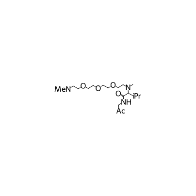 CNCCOCCOCCOCCN(C)C(C(=O)NCC(C)=O)C(C)C